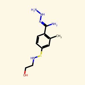 Cc1cc(SNCCO)ccc1/C(N)=N/NN